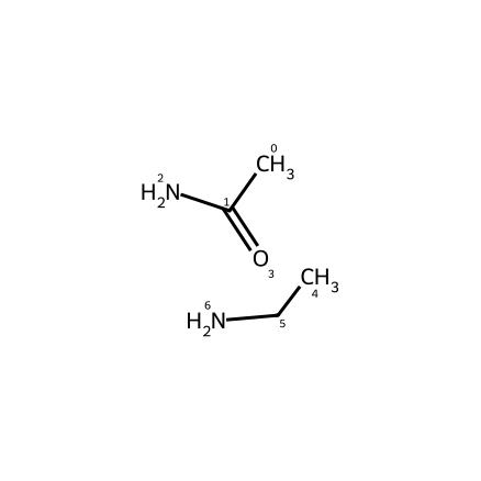 CC(N)=O.CCN